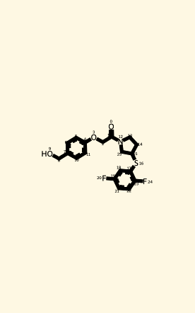 O=C(COc1ccc(CO)cc1)N1CCC(Sc2cc(F)ccc2F)C1